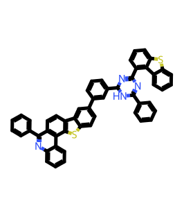 c1ccc(C2=NC(c3cccc4sc5ccccc5c34)=NC(c3cccc(-c4ccc5sc6c(ccc7c(-c8ccccc8)nc8ccccc8c76)c5c4)c3)N2)cc1